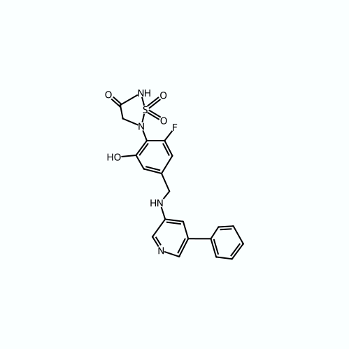 O=C1CN(c2c(O)cc(CNc3cncc(-c4ccccc4)c3)cc2F)S(=O)(=O)N1